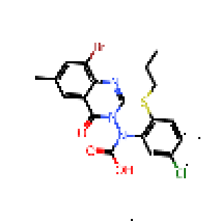 CCCSc1ccc(Cl)cc1N(C(=O)O)n1cnc2c(Br)cc(C)cc2c1=O